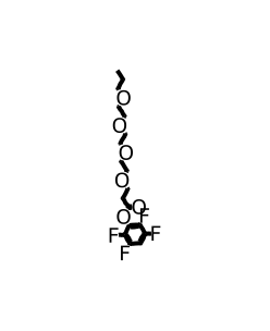 CCCOCCOCCOCCOCCC(=O)Oc1c(F)c(F)cc(F)c1F